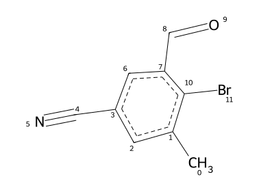 Cc1cc(C#N)cc(C=O)c1Br